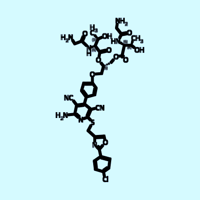 C[C@@H](O)[C@H](NC(=O)CN)C(=O)OC[C@H](COc1ccc(-c2c(C#N)c(N)nc(SCc3coc(-c4ccc(Cl)cc4)n3)c2C#N)cc1)OC(=O)[C@@H](NC(=O)CN)[C@@H](C)O